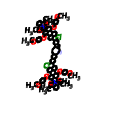 COc1ccc(OC2=c3c4ccc(-c5cc6cc7c(cc6cc5Cl)CCc5cc(cc6cc(Cl)c(-c8ccc9c%10c(Oc%11ccc(OC)cc%11)cc%11c%12c(cc(Oc%13ccc(OC)cc%13)c(c%13cccc8c%139)c%12%10)C(=O)N(c8c(C(C)C)cccc8C(C)C)C%11=O)cc56)/C=C\7)c5cccc(c6c(Oc7ccc(OC)cc7)cc7c(c36)C(C2)C(=O)N(c2c(C(C)C)cccc2C(C)C)C7=O)c54)cc1